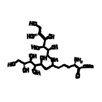 COC(=O)[C@@H](N)CCCC(C[C@H](O)[C@@H](O)[C@H](O)[C@H](O)CO)NC[C@H](O)[C@@H](O)[C@H](O)[C@H](O)CO